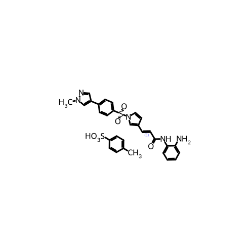 Cc1ccc(S(=O)(=O)O)cc1.Cn1cc(-c2ccc(S(=O)(=O)n3ccc(/C=C/C(=O)Nc4ccccc4N)c3)cc2)cn1